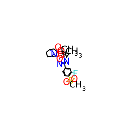 C[C@@H](OC1CC2CCC(C1)N2C(=O)OC1(C)CC1)c1nc(-c2ccc(S(C)(=O)=O)c(F)c2)no1